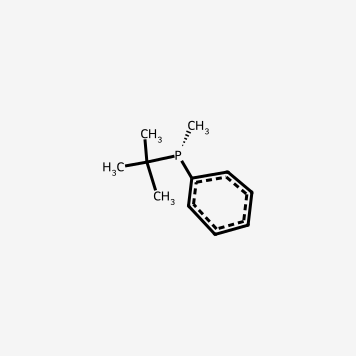 C[P@](c1ccccc1)C(C)(C)C